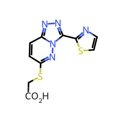 O=C(O)CSc1ccc2nnc(-c3nccs3)n2n1